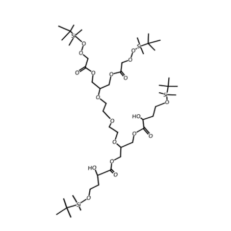 CC(C)(C)[Si](C)(C)OCCC(O)C(=O)OCC(COC(=O)C(O)CCO[Si](C)(C)C(C)(C)C)OCCOCCOC(COC(=O)COO[Si](C)(C)C(C)(C)C)COC(=O)COO[Si](C)(C)C(C)(C)C